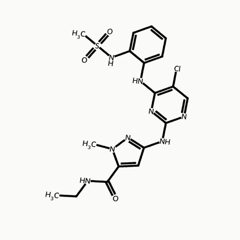 CCNC(=O)c1cc(Nc2ncc(Cl)c(Nc3ccccc3NS(C)(=O)=O)n2)nn1C